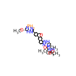 COC[C@H]1C[C@@H](c2ncc(-c3ccc4c(c3)COc3cc5c(ccc6nc([C@@H]7CC[C@H](C)N7C(=O)[C@@H](NC(=O)OC)C(C)C)[nH]c65)cc3-4)[nH]2)N(P)C1